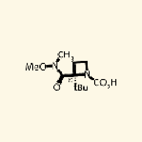 CON(C)C(=O)[C@@]1(C(C)(C)C)CCN1C(=O)O